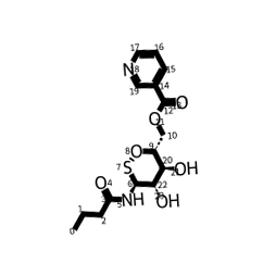 CCCC(=O)N[C@H]1SO[C@H](COC(=O)c2cccnc2)[C@@H](O)[C@@H]1O